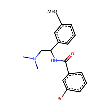 COc1cccc(C(CN(C)C)NC(=O)c2cccc(Br)c2)c1